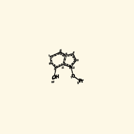 CC(C)On1ccc2cccc(O)c21